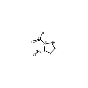 O=C(O)[C@@H]1CCCN1.[Cl-].[Na+]